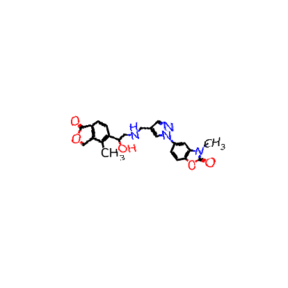 Cc1c(C(O)CNCc2cnn(-c3ccc4oc(=O)n(C)c4c3)c2)ccc2c1COC2=O